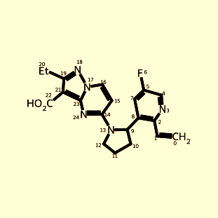 C=Cc1ncc(F)cc1C1CCCN1c1ccn2nc(CC)c(C(=O)O)c2n1